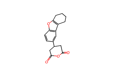 O=C1CC(c2ccc3oc4c(c3c2)CCCC4)CC(=O)O1